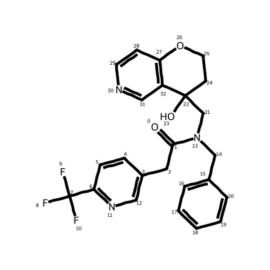 O=C(Cc1ccc(C(F)(F)F)nc1)N(Cc1ccccc1)CC1(O)CCOc2ccncc21